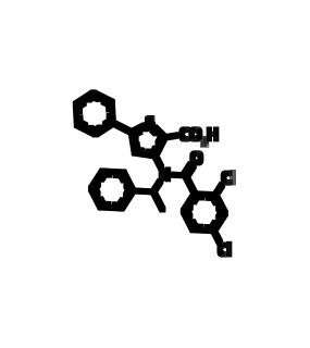 CC(c1ccccc1)N(C(=O)c1ccc(Cl)cc1Cl)c1cc(-c2ccccc2)sc1C(=O)O